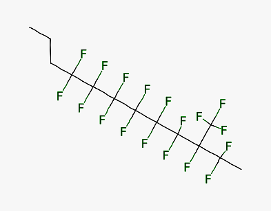 CCCC(F)(F)C(F)(F)C(F)(F)C(F)(F)C(F)(F)C(F)(F)C(F)(C(C)(F)F)C(F)(F)F